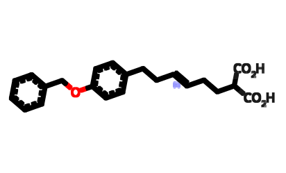 O=C(O)C(CC/C=C/CCc1ccc(OCc2ccccc2)cc1)C(=O)O